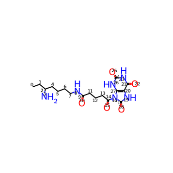 CCC(N)CCCCNC(=O)CCCC(=O)n1c(=O)[nH]c2c(=O)[nH]c(=O)[nH]c21